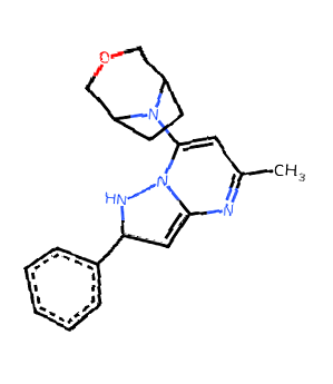 CC1=NC2=CC(c3ccccc3)NN2C(N2C3CCC2COC3)=C1